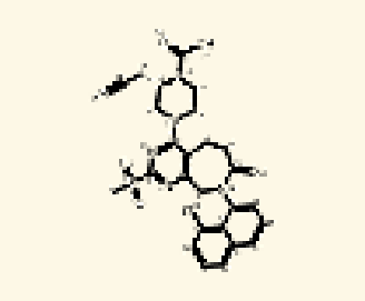 CS(=O)(=O)c1nc2c(c(N3CCN(C(=O)O)[C@@H](CC#N)C3)n1)CCC(=O)N(c1cccc3cccc(Cl)c13)C2